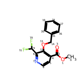 COC(=O)c1ccnc(C(F)F)c1OCc1ccccc1